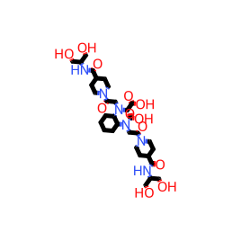 O=C(O)CN(CC(=O)N1CCC(C(=O)NC(CO)CO)CC1)C1CCCCC1N(CC(=O)N1CCC(C(=O)NC(CO)CO)CC1)C(=O)O